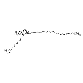 CCCCCCCCCCCCCCCCCCCN1C=CN(C)C1CCCCCCCCCC